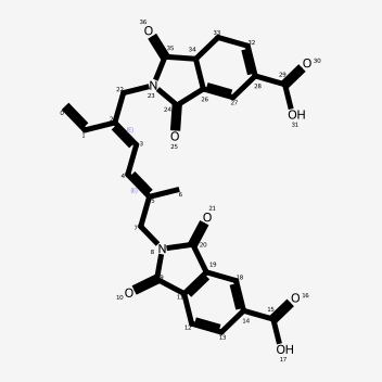 C=C/C(=C\C=C(/C)CN1C(=O)c2ccc(C(=O)O)cc2C1=O)CN1C(=O)C2=CC(C(=O)O)=CCC2C1=O